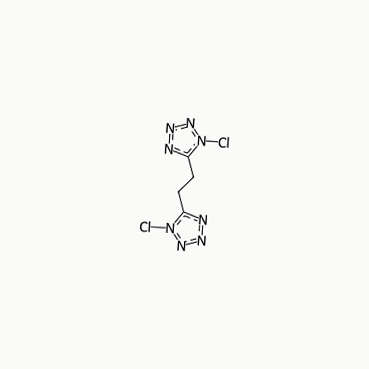 Cln1nnnc1CCc1nnnn1Cl